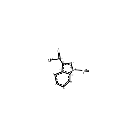 CCCCn1nc(C(=O)Cl)c2ccccc21